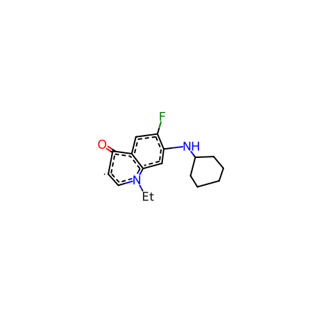 CCn1c[c]c(=O)c2cc(F)c(NC3CCCCC3)cc21